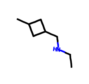 CCNCC1CC(C)C1